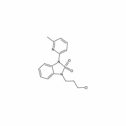 Cc1cccc(N2c3ccccc3N(CCCCl)S2(=O)=O)n1